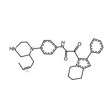 C/C=C\CC1CNCCN1c1ccc(NC(=O)C(=O)c2c(-c3ccccc3)cc3n2CCCC3)cc1